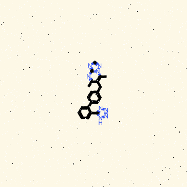 Cc1nc2ncnn2c(C)c1Cc1ccc(-c2ccccc2-c2nnn[nH]2)cc1